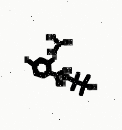 CC(C)(O)C(C)(C)O.OB(O)O.OB(O)c1ccc(F)cc1F